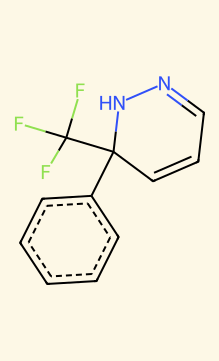 FC(F)(F)C1(c2ccccc2)C=CC=NN1